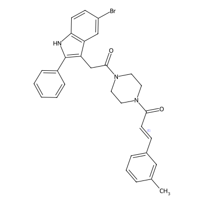 Cc1cccc(/C=C/C(=O)N2CCN(C(=O)Cc3c(-c4ccccc4)[nH]c4ccc(Br)cc34)CC2)c1